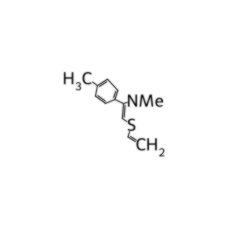 C=CS/C=C(\NC)c1ccc(C)cc1